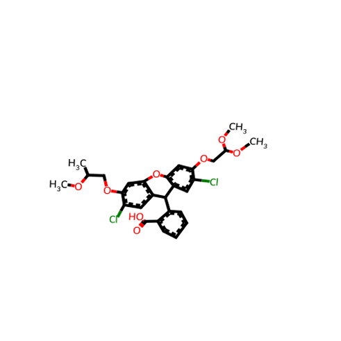 COC(C)COc1cc2c(cc1Cl)C(c1ccccc1C(=O)O)c1cc(Cl)c(OCC(OC)OC)cc1O2